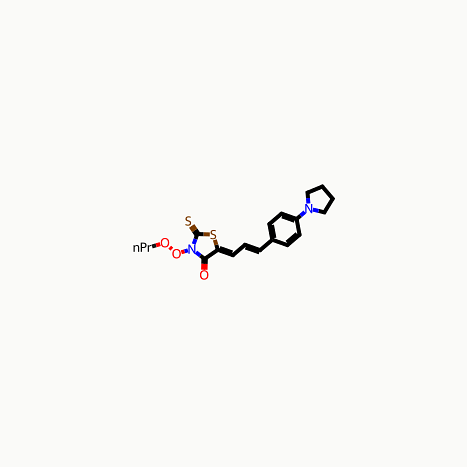 CCCOON1C(=O)/C(=C/C=C/c2ccc(N3CCCC3)cc2)SC1=S